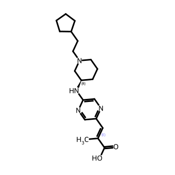 C/C(=C\c1cnc(N[C@@H]2CCCN(CCC3CCCC3)C2)cn1)C(=O)O